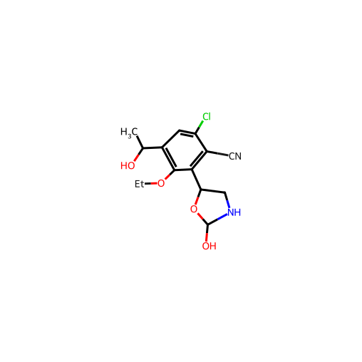 CCOc1c(C(C)O)cc(Cl)c(C#N)c1C1CNC(O)O1